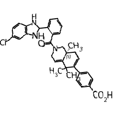 CC1(C)C(c2ccc(C(=O)O)cc2)=CC[C@]2(C)CN(C(=O)c3ccccc3C3Nc4ccc(Cl)cc4N3)CC=C12